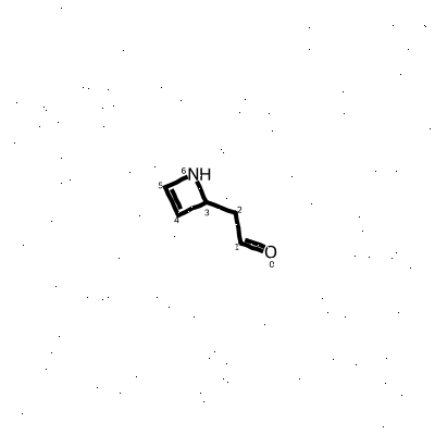 O=CCC1C=CN1